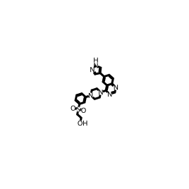 O=S(=O)(CCO)c1cccc(N2CCN(c3ncnc4ccc(-c5cn[nH]c5)cc34)CC2)c1